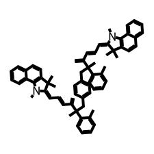 C=C(/C=C/C=C1/N(C)c2c(ccc3ccccc23)C1(C)C)C(C)(Cc1ccc(CC(C)(C(=C)/C=C/C=C2/N(C)c3c(ccc4ccccc34)C2(C)C)c2ccccc2C)cc1)c1ccccc1C